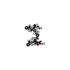 CC=C(NC(C(=O)N1C[C@@H](NC(=O)c2cccc(C(=O)N[C@H]3CC(C(=O)NN4C(=O)c5ccccc5C4=O)N(C(=O)[C@@H](NC(=O)[C@H](C)NC)C(C)(C)C)C3)c2)CC1C(=O)NN1C(=O)c2ccccc2C1=O)C(C)(C)C)[C@H](C)NC